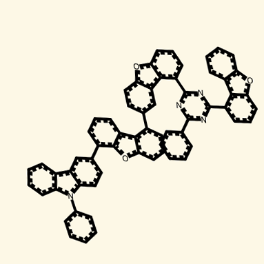 c1ccc(-c2nc(-c3cccc4oc5ccccc5c34)nc(-c3cccc4oc5ccc(-c6cccc7oc8c(-c9ccc%10c(c9)c9ccccc9n%10-c9ccccc9)cccc8c67)cc5c34)n2)cc1